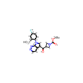 CC(C)(C)OC(=O)N1CC(C(=O)c2cn(-c3ccc(F)cc3C(=O)O)c3nnccc23)C1